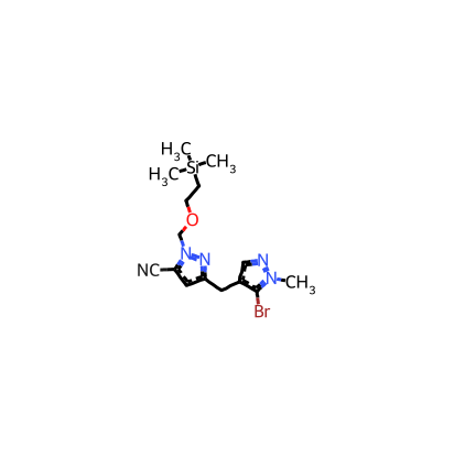 Cn1ncc(Cc2cc(C#N)n(COCC[Si](C)(C)C)n2)c1Br